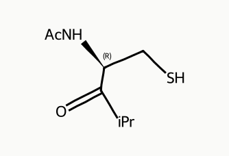 CC(=O)N[C@@H](CS)C(=O)C(C)C